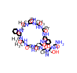 CC(C)CC1C(=O)NC(C)C(=O)NC(C(C)C)C(=O)NC(Cc2ccccc2)C(=O)NC(C(=O)N(C)[C@@H](C)C(=O)N[C@@H](CO)C(=O)NCC(N)=O)CC(=O)NCC(=O)NC(C)C(=O)N(C)C(Cc2ccccc2)C(=O)NCC(=O)N1C